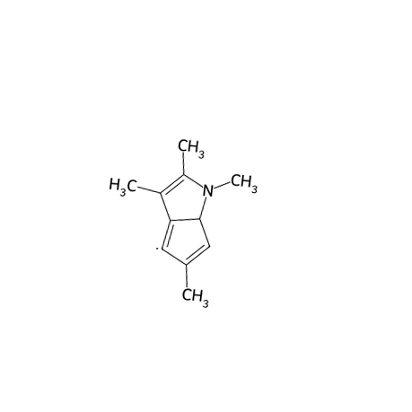 CC1=CC2C(=[C]1)C(C)=C(C)N2C